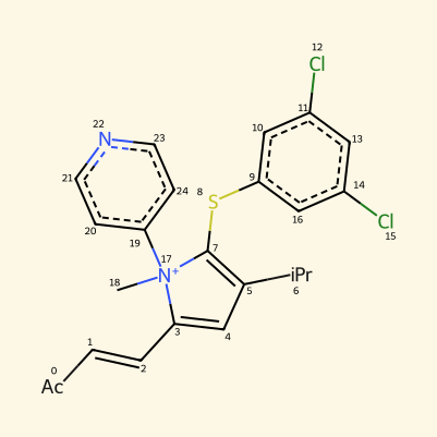 CC(=O)C=CC1=CC(C(C)C)=C(Sc2cc(Cl)cc(Cl)c2)[N+]1(C)c1ccncc1